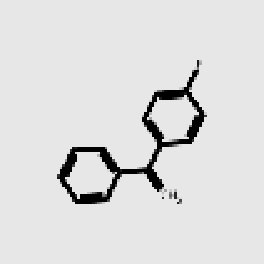 C=C(c1ccccc1)c1ccc(F)cc1